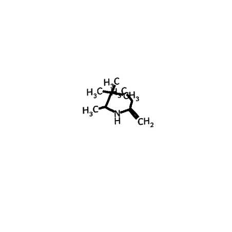 C=C(CC)NC(C)C(C)(C)C